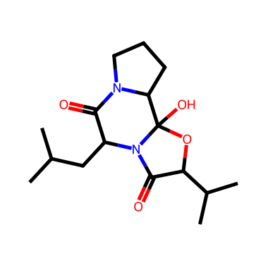 CC(C)CC1C(=O)N2CCCC2C2(O)OC(C(C)C)C(=O)N12